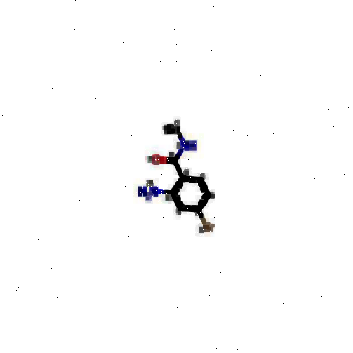 CC(C)(C)NC(=O)c1ccc(Br)cc1N